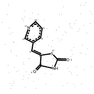 O=C1NC(=O)/C(=C/c2cccnc2)S1